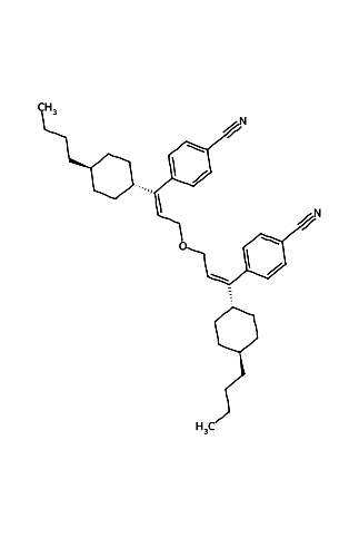 CCCC[C@H]1CC[C@H](C(=CCOCC=C(c2ccc(C#N)cc2)[C@H]2CC[C@H](CCCC)CC2)c2ccc(C#N)cc2)CC1